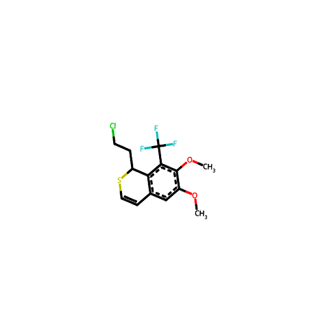 COc1cc2c(c(C(F)(F)F)c1OC)C(CCCl)SC=C2